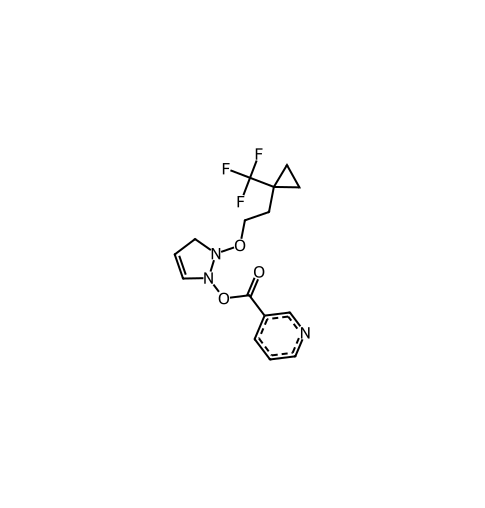 O=C(ON1C=CCN1OCCC1(C(F)(F)F)CC1)c1cccnc1